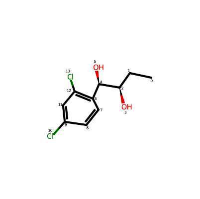 CC[C@@H](O)[C@H](O)c1ccc(Cl)cc1Cl